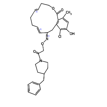 Cc1cc(O)c(Cl)c2c1C(=O)OCC/C=C/CC/C=C/C(=N\OCC(=O)N1CCC(Cc3ccccc3)CC1)C2